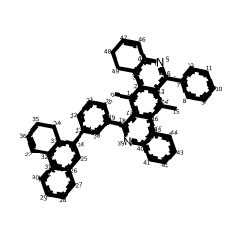 Cc1c2c3c(nc(-c4ccccc4)c2c(C)c2c1c(-c1cccc(-c4cc5ccccc5c5c4CCC=C5)c1)nc1ccccc12)C=CCC3